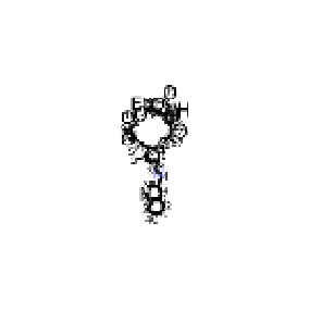 C=C(C)[C@@H]1[C@@H](C)C(=O)[C@@H](C)C(=O)O[C@H](CC)[C@@]2(C)OC(=O)N[C@@H]2[C@@H](C)C(=O)[C@H](C)C[C@@]1(C)OC/C=C/c1cnc2ccccc2c1